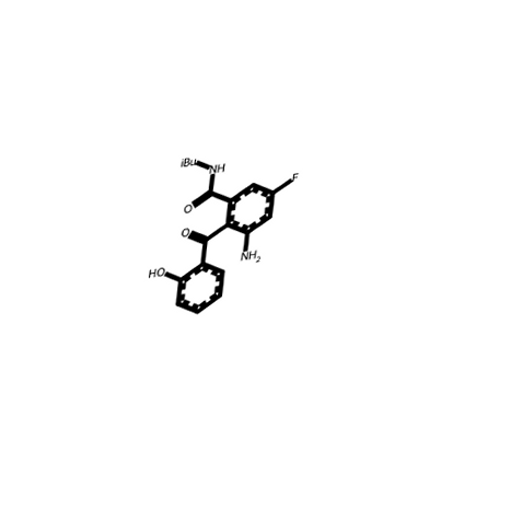 CCC(C)NC(=O)c1cc(F)cc(N)c1C(=O)c1ccccc1O